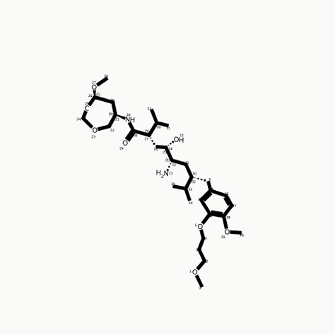 COCCCOc1cc(C[C@@H](C[C@H](N)[C@@H](O)C[C@H](C(=O)N[C@H]2COCC[C@@H](OC)C2)C(C)C)C(C)C)ccc1OC